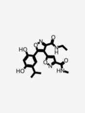 CCNC(=O)c1noc(-c2cc(C(C)C)c(O)cc2O)c1-c1cc(C(=O)NC)no1